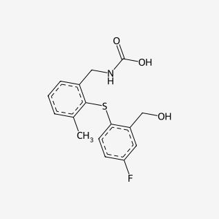 Cc1cccc(CNC(=O)O)c1Sc1ccc(F)cc1CO